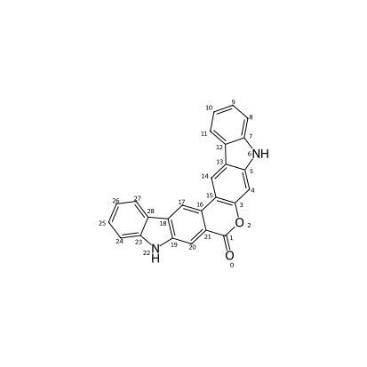 O=c1oc2cc3[nH]c4ccccc4c3cc2c2cc3c(cc12)[nH]c1ccccc13